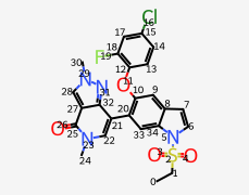 CCS(=O)(=O)n1ccc2cc(Oc3ccc(Cl)cc3F)c(-c3cn(C)c(=O)c4cn(C)nc34)cc21